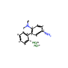 CN(C)c1ccc(N)cc1-c1ccccc1.Cl.Cl